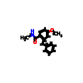 CNC(=O)c1ccc(OC)cc1Cc1ccccc1